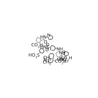 CN(C)c1ccc(C(=O)O)c2ccccc12.Nc1ccc(S(=O)(=O)Nc2ccc(S(=O)(=O)O)cc2)cc1.O=C(O)C1(c2ccccc2)NCCCC1([N+](=O)[O-])[N+](=O)[O-].O=C(O)C1CCCCC1C(=O)Nc1ccccn1